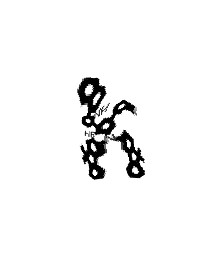 CC1(C)c2ccccc2-c2cc(N3c4cc5c(cc4Bc4c(-c6cccc7c6[nH]c6ccc8ccccc8c67)cc(-c6ccccc6)cc43)C(C)(C)c3ccccc3-5)ccc21